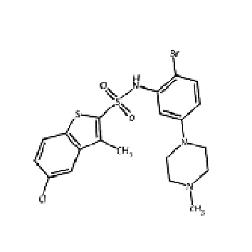 Cc1c(S(=O)(=O)Nc2cc(N3CCN(C)CC3)ccc2Br)sc2ccc(Cl)cc12